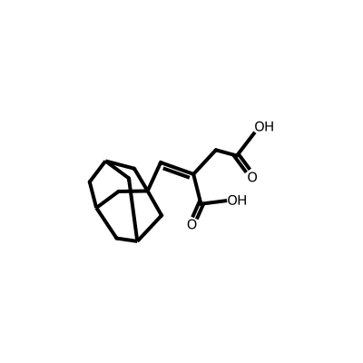 O=C(O)CC(=CC12CC3CC(CC(C3)C1)C2)C(=O)O